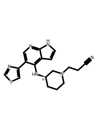 N#CCCN1CCC[C@@H](Nc2c(-c3cscn3)cnc3[nH]ccc23)C1